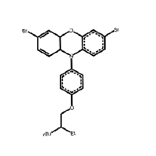 CCCCC(CC)COc1ccc(N2c3ccc(Br)cc3OC3C=C(Br)C=CC32)cc1